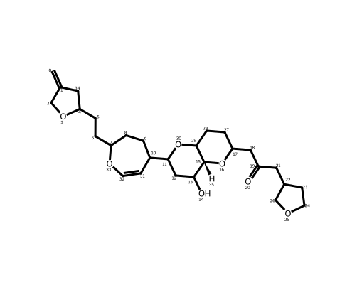 C=C1COC(CCC2CCC(C3CC(O)[C@H]4OC(CC(=O)CC5CCOC5)CCC4O3)C=CO2)C1